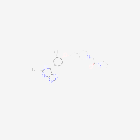 Cn1cnc2c(-c3ccc(OCCC4CCN(CC(=O)N5CCCC5)CC4)c(C(F)(F)F)c3)nc(C#N)nc21